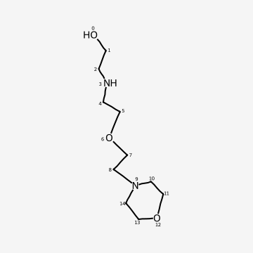 OCCNCCOCCN1CCOCC1